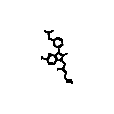 Cc1c(-c2cccc(SN(C)C)c2)c2nc(F)ccc2n1C/C(F)=C/CN